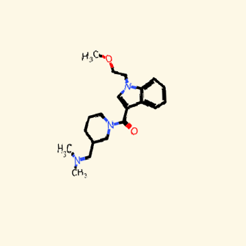 COCCn1cc(C(=O)N2CCCC(CN(C)C)C2)c2ccccc21